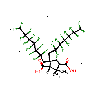 CC1(C)C(C(=O)O)CC(CC(F)(F)C(F)(F)C(F)(F)C(F)(F)C(F)(F)C(F)F)(CC(F)(F)C(F)(F)C(F)(F)C(F)(F)C(F)(F)C(F)F)C1(C)C(=O)O